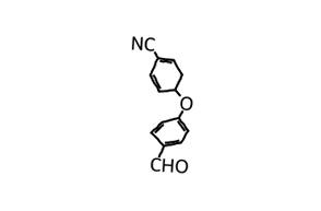 N#CC1=CCC(Oc2ccc(C=O)cc2)C=C1